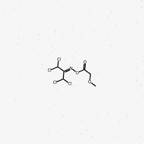 COCC(=O)ON=C(C(Cl)Cl)C(Cl)Cl